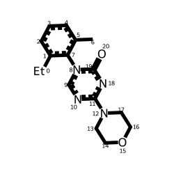 CCc1cccc(C)c1-n1cnc(N2CCOCC2)nc1=O